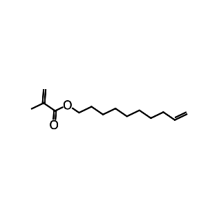 C=CCCCCCCCCOC(=O)C(=C)C